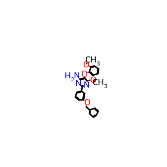 COc1ccccc1Oc1c(N)nc(-c2cccc(OCc3ccccc3)c2)nc1OC